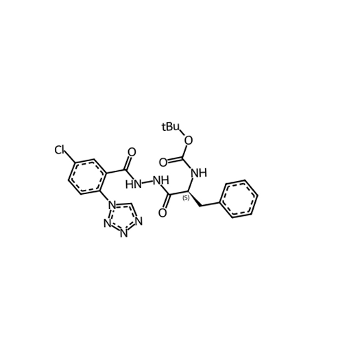 CC(C)(C)OC(=O)N[C@@H](Cc1ccccc1)C(=O)NNC(=O)c1cc(Cl)ccc1-n1cnnn1